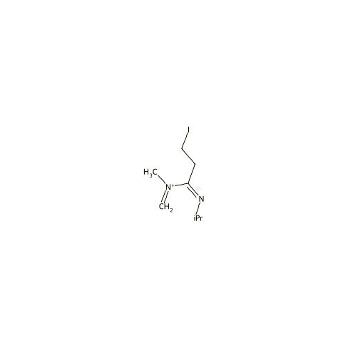 C=[N+](C)/C(CCI)=N\C(C)C